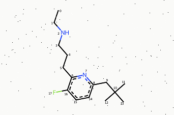 CCNCCCc1nc(CC(C)(C)C)ccc1F